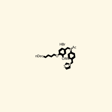 Br.CCCCCCCCCCCCCCOc1ccc(CN(C(C)=O)c2ccc(CN3C=CSC3)cc2)cc1OC